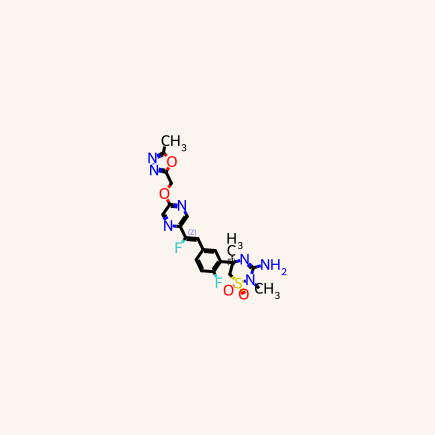 Cc1nnc(COc2cnc(/C(F)=C/c3ccc(F)c([C@]4(C)CS(=O)(=O)N(C)C(N)=N4)c3)cn2)o1